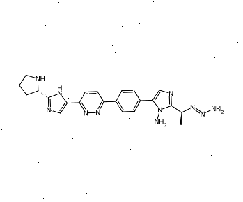 C[C@H](N=NN)c1ncc(-c2ccc(-c3ccc(-c4cnc([C@@H]5CCCN5)[nH]4)nn3)cc2)n1N